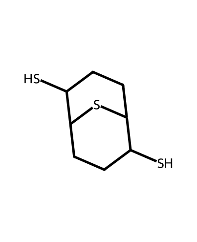 SC1CCC2SC1CCC2S